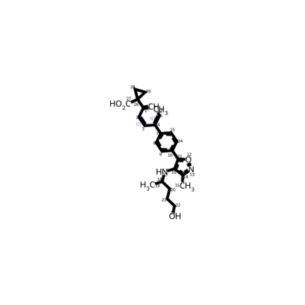 C=C(/C=C\C(=C/C)c1ccc(-c2onc(C)c2NC(C)CCCO)cc1)C1(C(=O)O)CC1